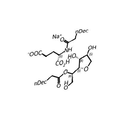 CCCCCCCCCCCC(=O)N[C@@H](CCC(=O)[O-])C(=O)O.CCCCCCCCCCCC(=O)O[C@H](CO)[C@H]1OC[C@H](O)[C@H]1O.[Na+]